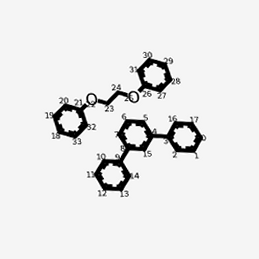 c1ccc(-c2cccc(-c3ccccc3)c2)cc1.c1ccc(OCCOc2ccccc2)cc1